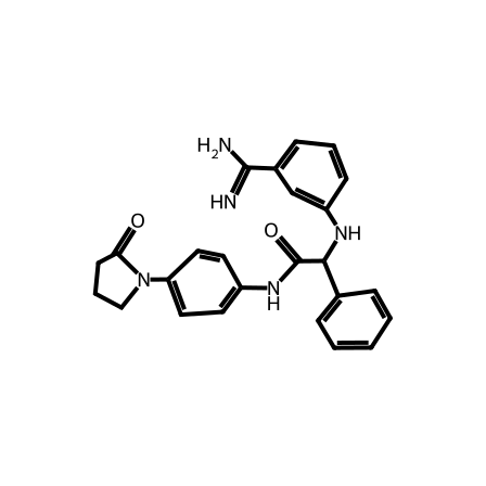 N=C(N)c1cccc(NC(C(=O)Nc2ccc(N3CCCC3=O)cc2)c2ccccc2)c1